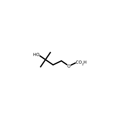 CC(C)(O)CCOC(=O)O